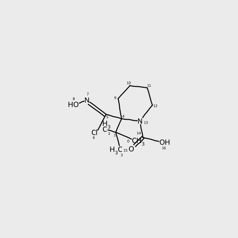 CC(C)(C)C1(C(Cl)=NO)CCCCN1C(=O)O